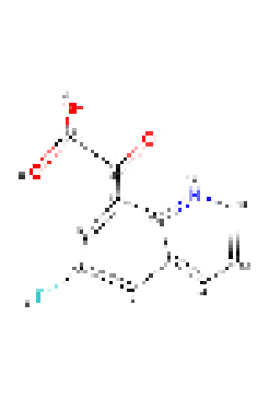 O=C(O)C(=O)c1cc(F)cc2cccnc12